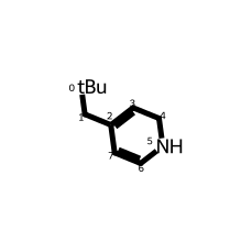 CC(C)(C)CC1=CCNC=C1